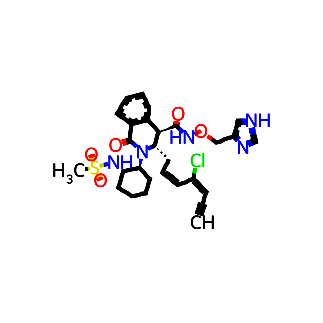 C#C/C=C(Cl)\C=C/C[C@H]1[C@H](C(=O)NOCc2c[nH]cn2)c2ccccc2C(=O)N1[C@H]1CCCC[C@@H]1NS(C)(=O)=O